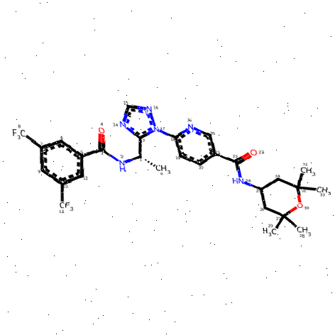 C[C@H](NC(=O)c1cc(C(F)(F)F)cc(C(F)(F)F)c1)c1ncnn1-c1ccc(C(=O)NC2CC(C)(C)OC(C)(C)C2)cn1